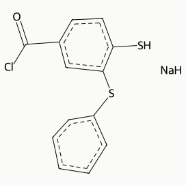 O=C(Cl)c1ccc(S)c(Sc2ccccc2)c1.[NaH]